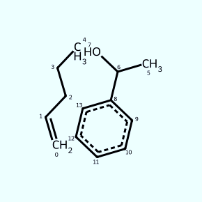 C=CCCC.CC(O)c1ccccc1